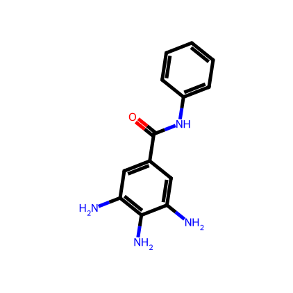 Nc1cc(C(=O)Nc2ccccc2)cc(N)c1N